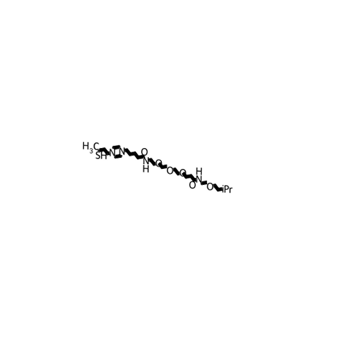 CC(C)CCOCCNC(=O)CCOCCOCCOCCNC(=O)CCCCN1CCN(CCC(C)S)CC1